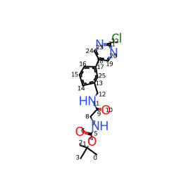 CC(C)(C)OC(=O)NCC(=O)NCc1cccc(-c2cnc(Cl)nc2)c1